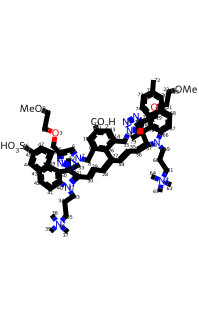 COCCOCc1cn(Cc2cc(C(=O)O)cc(Cn3cc(COCCOC)nn3)c2C(=C\C=C\C2=[N+](CCC[N+](C)(C)C)c3ccc4cc(S(=O)(=O)O)ccc4c3C2(C)C)/C=C/C=C2/N(CCC[N+](C)(C)C)c3ccc4cc(C)ccc4c3C2(C)C)nn1